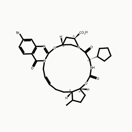 CC1CC[C@H]2OC(=O)N[C@@H](C3CCCC3)C(=O)N3C[C@@H](C[C@H]3C(=O)O)Oc3nc4cc(Br)ccc4c(=O)n3CC=CCC[C@@H]12